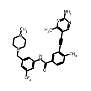 Cc1ccc(C(=O)Nc2cc(CN3CCN(C)CC3)cc(C(F)(F)F)c2)cc1C#Cc1cnc(N)nc1C